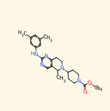 Cc1cc(C)cc(Nc2ncc3c(n2)CCN(C2CCN(C(=O)OC(C)(C)C)CC2)C3C)c1